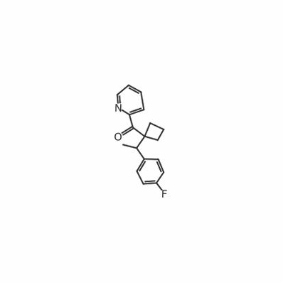 CC(c1ccc(F)cc1)C1(C(=O)c2ccccn2)CCC1